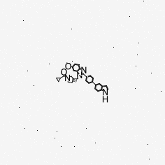 COc1ccc2nc(-c3ccc(-c4ccc5[nH]ccc5c4)cc3)n(C[C@H]3CCN(C(=O)C4CC4)C3)c2c1